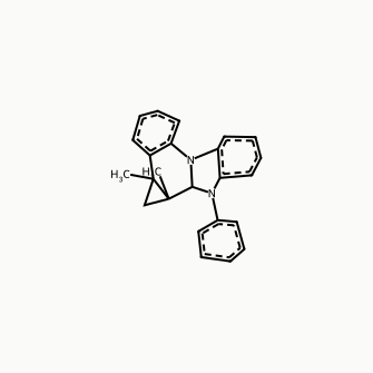 CC12CC1(C)C1N(c3ccccc3)c3ccccc3N1c1ccccc12